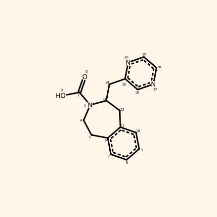 O=C(O)N1CCc2ccccc2CC1Cc1cnccn1